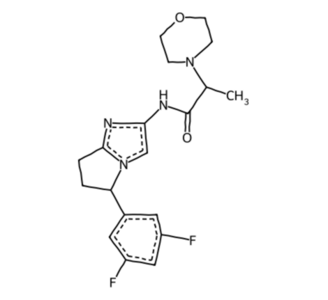 CC(C(=O)Nc1cn2c(n1)CCC2c1cc(F)cc(F)c1)N1CCOCC1